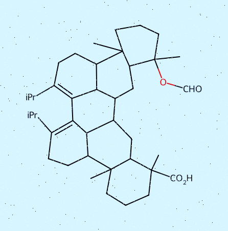 CC(C)C1=C2C3=C(C(C)C)CCC4C3C(CC3C(C)(C(=O)O)CCCC43C)C3CC4C(C)(OC=O)CCCC4(C)C(CC1)C23